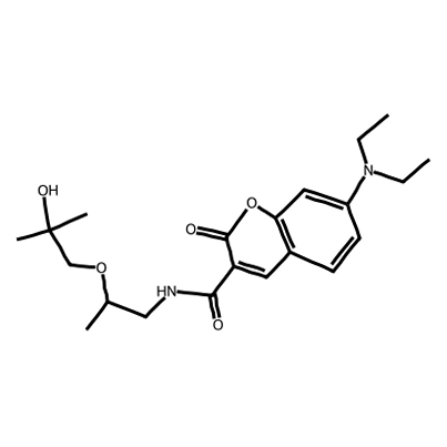 CCN(CC)c1ccc2cc(C(=O)NCC(C)OCC(C)(C)O)c(=O)oc2c1